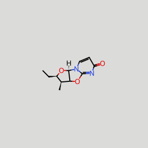 CC[C@H]1O[C@@H]2C(Oc3nc(=O)ccn32)[C@H]1C